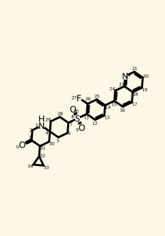 O=C1CNC2(CCC(S(=O)(=O)c3ccc(-c4ccc5cccnc5c4)cc3F)CC2)CC1C1CC1